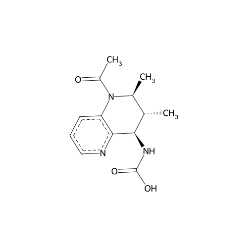 CC(=O)N1c2cccnc2[C@H](NC(=O)O)[C@@H](C)[C@@H]1C